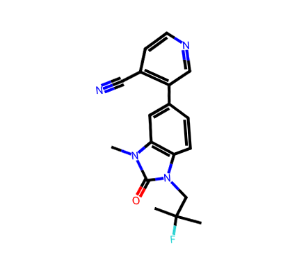 Cn1c(=O)n(CC(C)(C)F)c2ccc(-c3cnccc3C#N)cc21